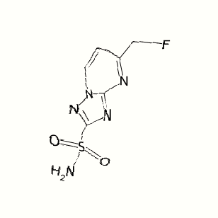 NS(=O)(=O)c1nc2nc(CF)ccn2n1